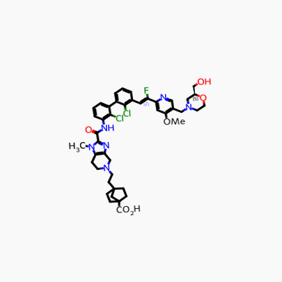 COc1cc(/C(F)=C/c2cccc(-c3cccc(NC(=O)c4nc5c(n4C)CCN(CCC46CCC(C(=O)O)(CC4)C6)C5)c3Cl)c2Cl)ncc1CN1CCO[C@H](CO)C1